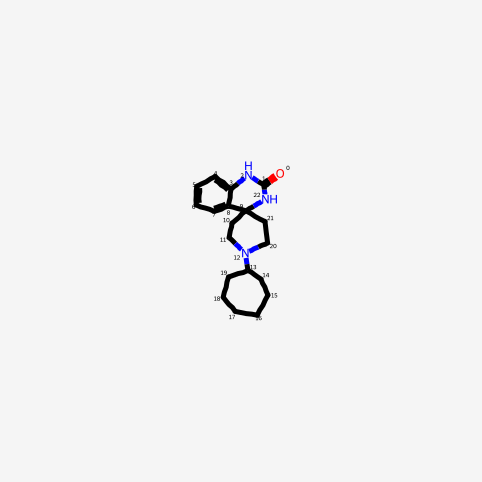 O=C1Nc2ccccc2C2(CCN(C3CCCCCC3)CC2)N1